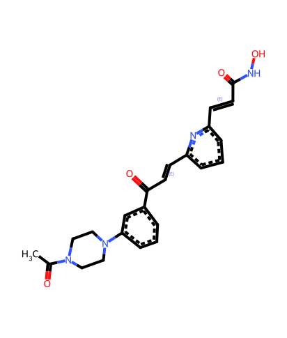 CC(=O)N1CCN(c2cccc(C(=O)/C=C/c3cccc(/C=C/C(=O)NO)n3)c2)CC1